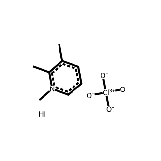 Cc1ccc[n+](C)c1C.I.[O-][Cl+3]([O-])([O-])[O-]